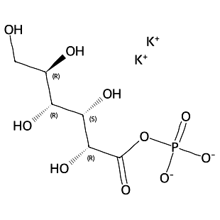 O=C(OP(=O)([O-])[O-])[C@H](O)[C@@H](O)[C@H](O)[C@H](O)CO.[K+].[K+]